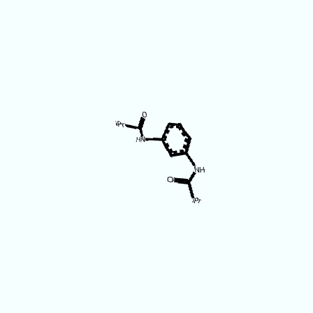 CC(C)C(=O)Nc1[c]c(NC(=O)C(C)C)ccc1